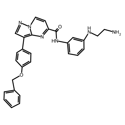 NCCNc1cccc(NC(=O)c2ccn3ncc(-c4ccc(OCc5ccccc5)cc4)c3n2)c1